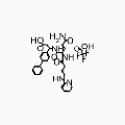 NC(=O)CC[C@@H](NC(=O)CCCNc1ccccn1)C(=O)NC(CC(=O)O)c1ccc(-c2ccccc2)cc1.O=C(O)C(F)(F)F